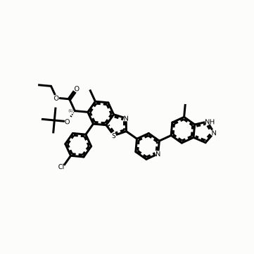 CCOC(=O)[C@@H](OC(C)(C)C)c1c(C)cc2nc(-c3ccnc(-c4cc(C)c5[nH]ncc5c4)c3)sc2c1-c1ccc(Cl)cc1